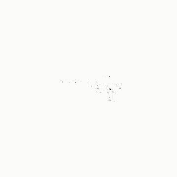 NCCCOCCOCCOCC(CC1CO1)(CC1CO1)C(N)(CC1CO1)CC1CO1